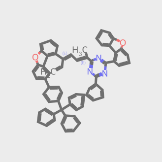 C=C/C(=C\C=C(/C)c1nc(-c2ccccc2)nc(-c2cccc3oc4ccccc4c23)n1)c1cccc2oc3ccc(-c4ccc(C(c5ccccc5)(c5ccccc5)c5ccccc5)cc4)cc3c12